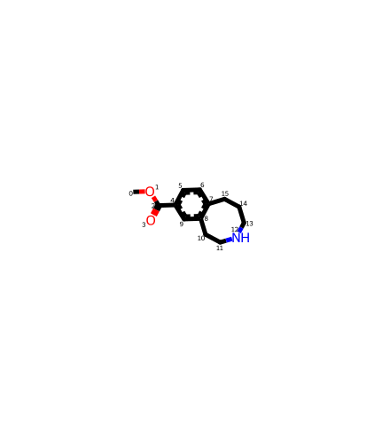 COC(=O)c1ccc2c(c1)CCNCCC2